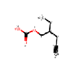 C#CCC(CC)COC(=O)O